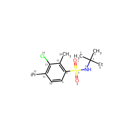 CCC(C)(C)NS(=O)(=O)c1ccc(C(C)C)c(Cl)c1C